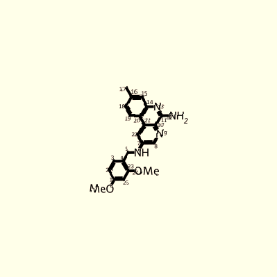 COc1ccc(CNc2cnc3c(N)nc4cc(C)ccc4c3c2)c(OC)c1